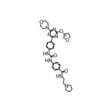 O=C(Nc1ccc(C(=O)NCCN2CCCC2)cc1)Nc1ccc(-c2nc(O[C@H]3CCOC3)nc(N3CCOCC3)n2)cc1